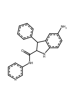 Nc1ccc2c(c1)C(c1ccccc1)C(C(=O)Nc1cccnc1)N2